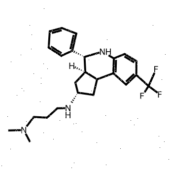 CN(C)CCCN[C@H]1CC2c3cc(C(F)(F)F)ccc3N[C@@H](c3ccccc3)[C@@H]2C1